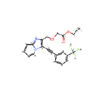 CCOC(=O)COCc1nc2ccccn2c1C#Cc1cccc(C(F)(F)F)c1